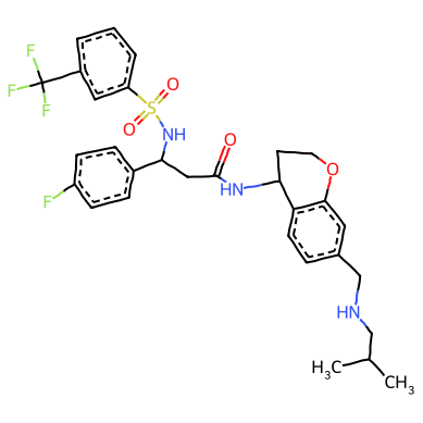 CC(C)CNCc1ccc2c(c1)OCCC2NC(=O)CC(NS(=O)(=O)c1cccc(C(F)(F)F)c1)c1ccc(F)cc1